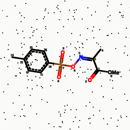 COC(=O)/C(C)=N\OS(=O)(=O)c1ccc(C)cc1